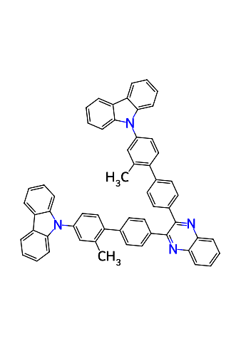 Cc1cc(-n2c3ccccc3c3ccccc32)ccc1-c1ccc(-c2nc3ccccc3nc2-c2ccc(-c3ccc(-n4c5ccccc5c5ccccc54)cc3C)cc2)cc1